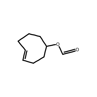 O=COC1CC/C=C/CCC1